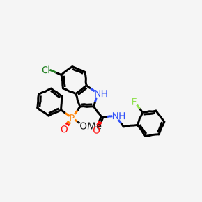 COP(=O)(c1ccccc1)c1c(C(=O)NCc2ccccc2F)[nH]c2ccc(Cl)cc12